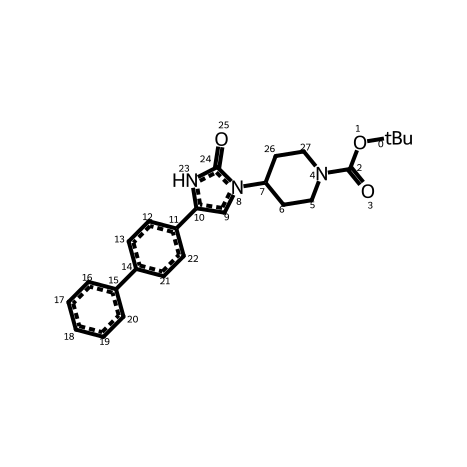 CC(C)(C)OC(=O)N1CCC(n2cc(-c3ccc(-c4ccccc4)cc3)[nH]c2=O)CC1